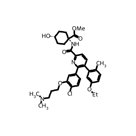 CCOc1ccc(C)c(-c2ccc(C(=O)N[C@]3(C(=O)OC)CC[C@H](O)CC3)nc2-c2ccc(Cl)c(OCCCN(C)C)c2)c1